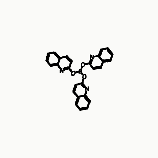 c1ccc2nc(OB(Oc3ccc4ccccc4n3)Oc3ccc4ccccc4n3)ccc2c1